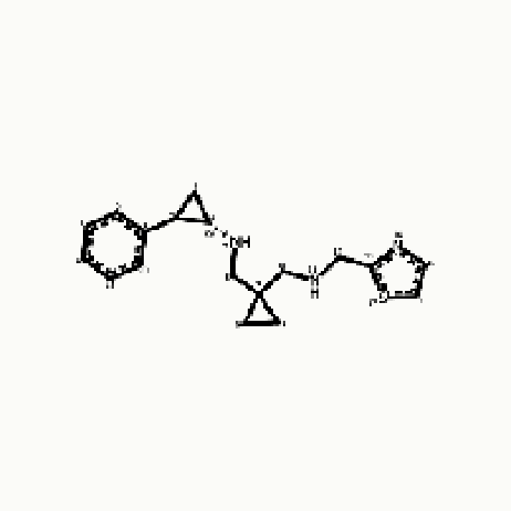 c1ccc(C2C[C@@H]2NCC2(CNCc3nccs3)CC2)cc1